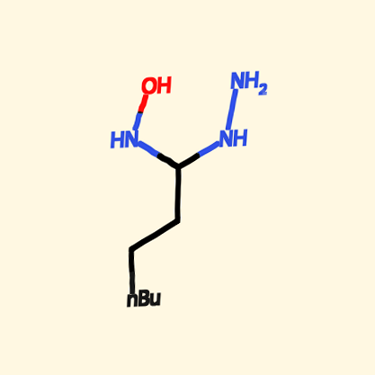 CCCCCCC(NN)NO